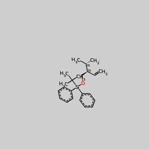 [CH2][C@@H](C)[C@@H](C=C)CO[Si](c1ccccc1)(c1ccccc1)C(C)(C)C